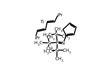 CC(C)C=CC=CC(C)C.C[Si](C)(C)P(=NC1=CC=CC1)([Si](C)(C)C)[Si](C)(C)C.[Ti]